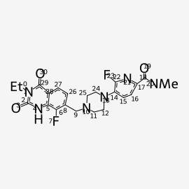 CCn1c(=O)[nH]c2c(F)c(CN3CCN(c4ccc(C(=O)NC)nc4F)CC3)ccc2c1=O